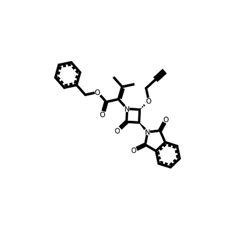 C#CCO[C@@H]1[C@@H](N2C(=O)c3ccccc3C2=O)C(=O)N1C(C(=O)OCc1ccccc1)=C(C)C